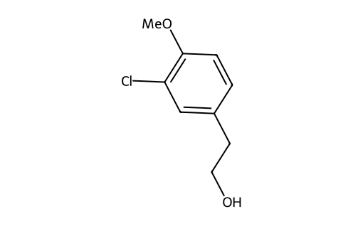 COc1ccc(CCO)cc1Cl